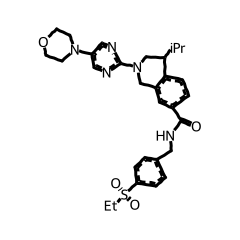 CCS(=O)(=O)c1ccc(CNC(=O)c2ccc3c(c2)CN(c2ncc(N4CCOCC4)cn2)CC3C(C)C)cc1